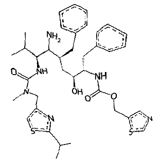 CC(C)c1nc(CN(C)C(=O)N[C@@H](C(C)C)C(N)[C@@H](Cc2ccccc2)C[C@H](O)[C@H](Cc2ccccc2)NC(=O)OCc2cncs2)cs1